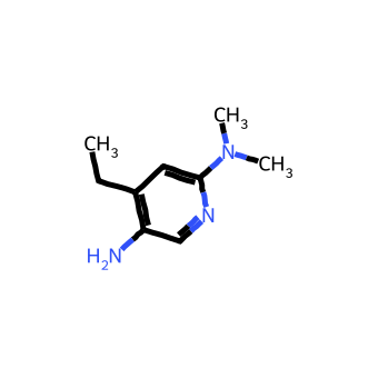 CCc1cc(N(C)C)ncc1N